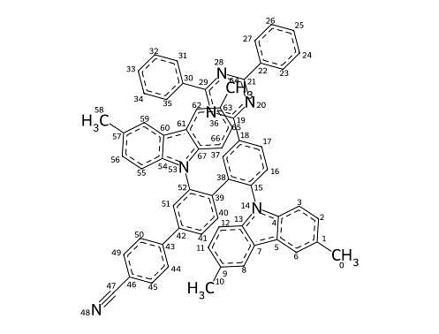 Cc1ccc2c(c1)c1cc(C)ccc1n2-c1ccc(-c2nc(-c3ccccc3)nc(-c3ccccc3)n2)cc1-c1ccc(-c2ccc(C#N)cc2)cc1-n1c2ccc(C)cc2c2cc(C)ccc21